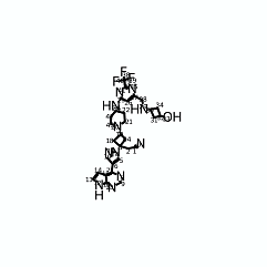 N#CCC1(n2cc(-c3ncnc4[nH]ccc34)cn2)CC(N2CCC(Nc3cc(CNC4CC(O)C4)nc(C(F)(F)F)n3)CC2)C1